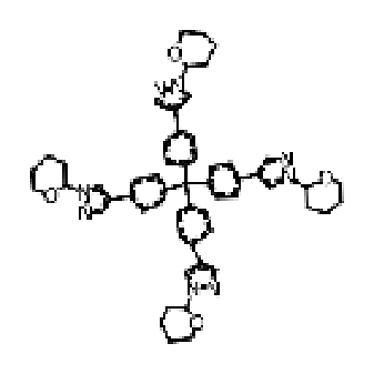 c1cc(C(c2ccc(-c3cnn(C4CCCCO4)c3)cc2)(c2ccc(-c3cnn(C4CCCCO4)c3)cc2)c2ccc(-c3cnn(C4CCCCO4)c3)cc2)ccc1-c1cnn(C2CCCCO2)c1